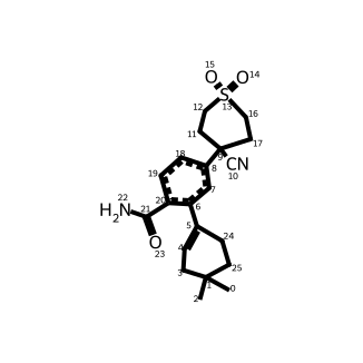 CC1(C)CC=C(c2cc(C3(C#N)CCS(=O)(=O)CC3)ccc2C(N)=O)CC1